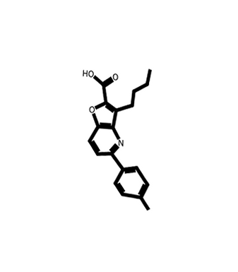 CCCCc1c(C(=O)O)oc2ccc(-c3ccc(C)cc3)nc12